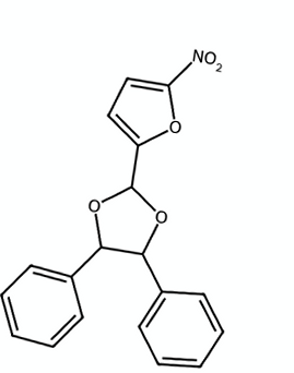 O=[N+]([O-])c1ccc(C2OC(c3ccccc3)C(c3ccccc3)O2)o1